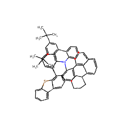 CC(C)(C)c1cc(-c2ccccc2N(c2ccccc2-c2cccc3c2sc2ccccc23)c2ccccc2-c2cccc3cccc(C4CCCCC4)c23)cc(C(C)(C)C)c1